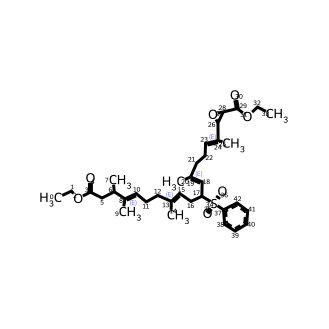 CCOC(=O)CC(C)/C(C)=C/CC/C(C)=C/CC(/C=C(\C)CC/C=C(\C)C1OC1C(=O)OCC)S(=O)(=O)c1ccccc1